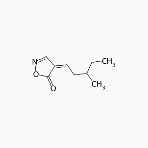 CCC(C)CC=C1C=NOC1=O